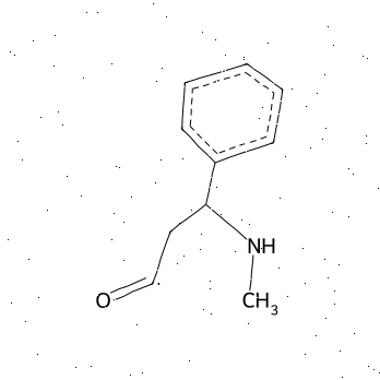 CNC(C[C]=O)c1ccccc1